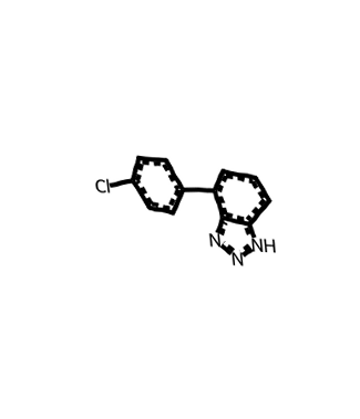 Clc1ccc(-c2cccc3[nH]nnc23)cc1